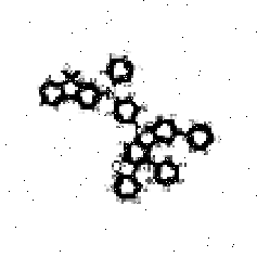 CC1(C)c2ccccc2-c2ccc(N(c3ccccc3)c3ccc(-n4c5ccc(-c6ccccc6)cc5c5c(-c6ccccc6)c6c(cc54)oc4ccccc46)cc3)cc21